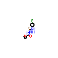 O=C(NNC(=S)Nc1ccc(F)cc1)c1ccco1